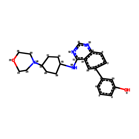 Oc1cccc(-c2ccc3ncnc(NC4CCC(N5CCOCC5)CC4)c3c2)c1